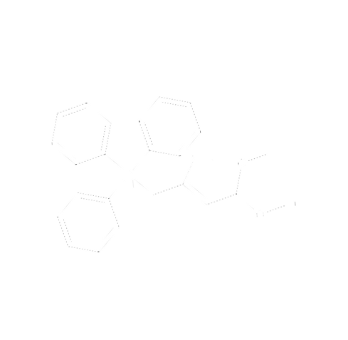 CCOC(C=C(C)C[PH](c1ccccc1)(c1ccccc1)c1ccccc1)OCC